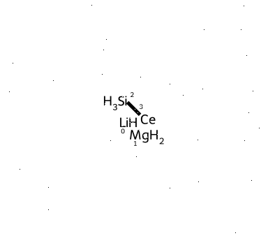 [LiH].[MgH2].[SiH3][Ce]